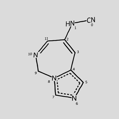 N#CNC1=Cc2cncn2CN=C1